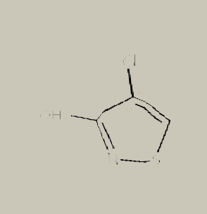 O=Cc1nscc1Cl